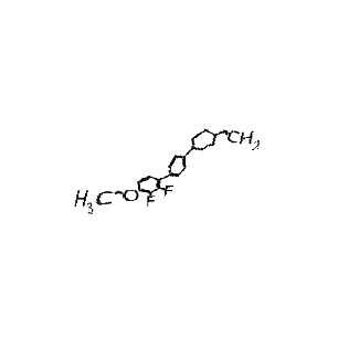 C=CC1CCC(c2ccc(-c3ccc(OCC)c(F)c3F)cc2)CC1